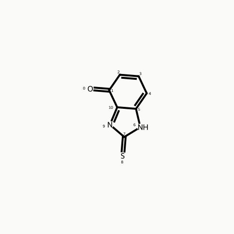 O=C1C=CC=C2NC(=S)N=C12